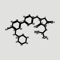 CC(C)CN1C(=O)CN(Cc2ccc(-c3ccc(F)c(CN4CCCCC4)c3)cc2)C1=O